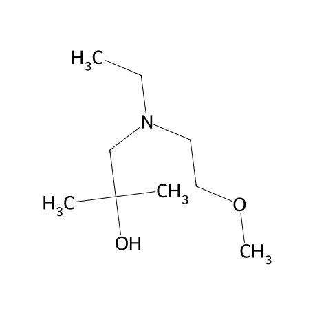 CCN(CCOC)CC(C)(C)O